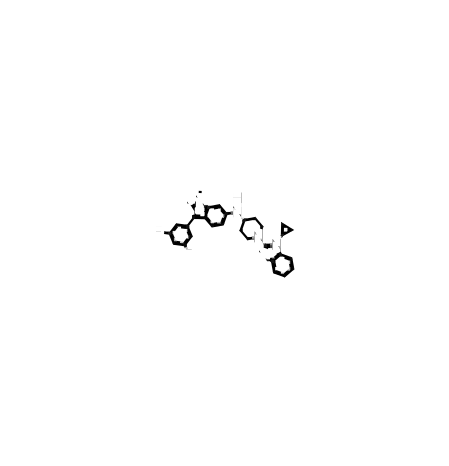 Cn1nc(-c2cc(F)cc(F)c2)c2ccc(NC3CCN(c4nc5ccccc5n4C4CC4)CC3)cc21